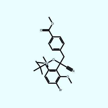 COC(=O)c1ccc(CC(C#N)(O[Si](C)(C)C(C)(C)C)c2c(OC)ccc(Br)c2OC)cc1